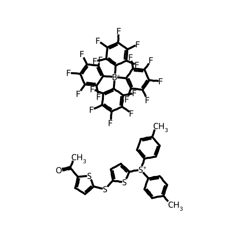 CC(=O)c1ccc(Sc2ccc([S+](c3ccc(C)cc3)c3ccc(C)cc3)s2)s1.Fc1c(F)c(F)c([B-](c2c(F)c(F)c(F)c(F)c2F)(c2c(F)c(F)c(F)c(F)c2F)c2c(F)c(F)c(F)c(F)c2F)c(F)c1F